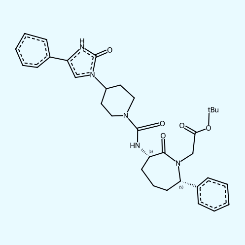 CC(C)(C)OC(=O)CN1C(=O)[C@@H](NC(=O)N2CCC(n3cc(-c4ccccc4)[nH]c3=O)CC2)CCC[C@H]1c1ccccc1